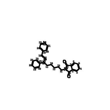 O=C1c2ccccc2C(=O)N1CCCCCN(/N=C/c1ccncc1)c1ccccc1